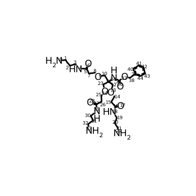 NCCCNC(=O)CCOCC(COCCC(=O)NCCCN)(COCCC(=O)NCCCN)NC(=O)OCc1ccccc1